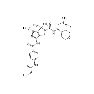 C=CC(=O)Nc1ccc(C(=O)Nc2nn(C(=O)O)c3c2CN(C(=O)N[C@H](CN(C)C)C2CCOCC2)C3(C)C)cc1